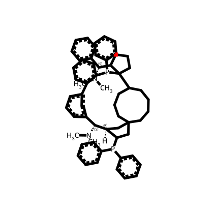 CN(C)[C@H](c1ccccc1)C1CCCC12C1CCCCC3(CCC1)CC(P(c1ccccc1)c1ccccc1)[C@H](C3)[C@H](N(C)C)c1cccc(c1)-c1ccccc1P2c1ccccc1